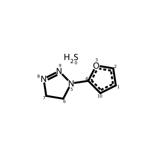 S.c1coc(N2CCN=N2)c1